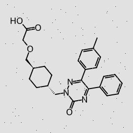 Cc1ccc(-c2nn(C[C@H]3CC[C@H](COCC(=O)O)CC3)c(=O)nc2-c2ccccc2)cc1